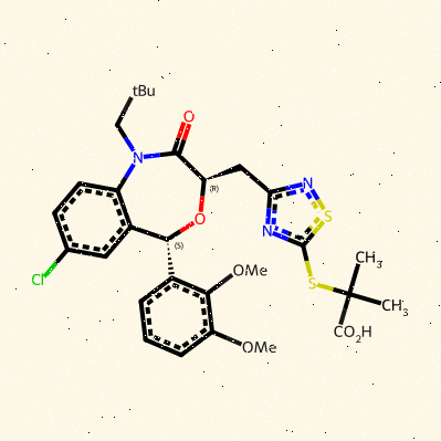 COc1cccc([C@H]2O[C@H](Cc3nsc(SC(C)(C)C(=O)O)n3)C(=O)N(CC(C)(C)C)c3ccc(Cl)cc32)c1OC